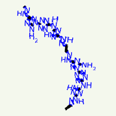 C=NNc1nc(N)n(-c2nnc(Nc3nc(N/N=C/C=N/Nc4nc(N)n(-c5nnc(Nc6nc(N/N=C/C)n[nH]6)nn5)n4)n[nH]3)nn2)n1